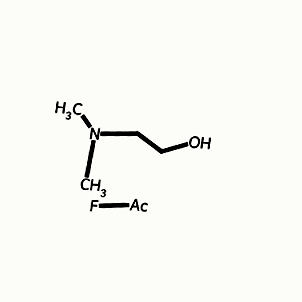 CC(=O)F.CN(C)CCO